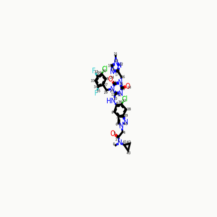 CN(C(=O)Cn1cc2cc(Nc3nc(=O)n(Cc4ncn(C)n4)c(=O)n3Cc3cc(Cl)c(F)cc3F)c(Cl)cc2n1)C1CC1